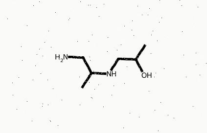 CC(O)CNC(C)CN